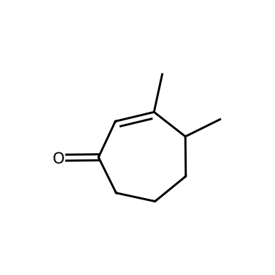 CC1=CC(=O)CCCC1C